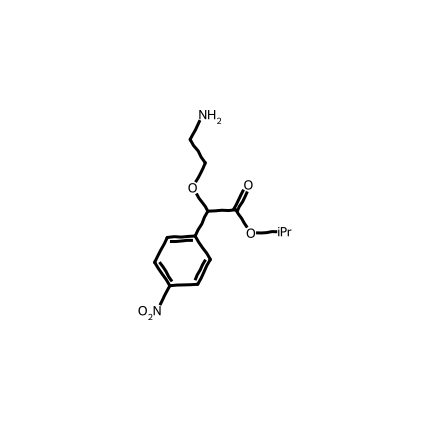 CC(C)OC(=O)C(OCCN)c1ccc([N+](=O)[O-])cc1